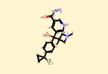 CN1CC(C)(C(O)(c2ccc(C3(C(F)(F)F)CC3)cc2)c2cncc(C(N)=O)c2)C1